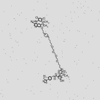 COc1cc(Nc2c(C#N)cnc3cc(OCCCN4CCN(CCCCCCOCCOCCOCCOCCCCCC(=O)N[C@H](C(=O)N5C[C@H](O)C[C@H]5C(=O)NCc5ccc(-c6scnc6C)cc5)C(C)(C)C)CC4)c(OC)cc23)c(Cl)cc1Cl